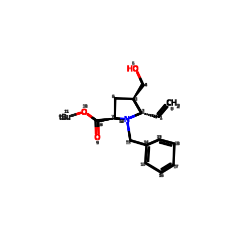 C=C[C@H]1[C@H](CO)C[C@H](C(=O)OC(C)(C)C)N1Cc1ccccc1